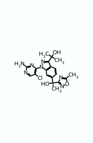 Cc1nc([C@](C)(O)c2ccc3c(C(C)(C)O)nn(-c4nc(N)ncc4Cl)c3c2)no1